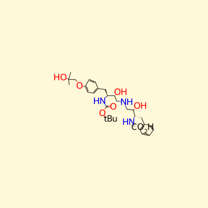 CC(C)(O)COc1ccc(C[C@H](NC(=O)OC(C)(C)C)C(O)CNC[C@@H](O)[C@H](Cc2ccccc2)NC(=O)O)cc1